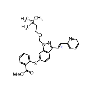 COC(=O)c1ccccc1Sc1ccc2c(/C=C/c3ccccn3)nn(COCC[Si](C)(C)C)c2c1